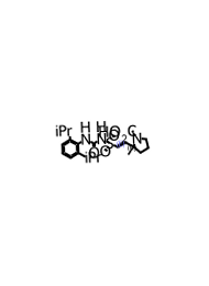 CC(C)c1cccc(C(C)C)c1NC(=O)NS(=O)(=O)/C=C/[C@@]1(C)CCCN1C(=O)O